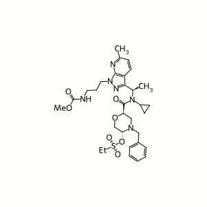 CCS(=O)(=O)O[C@@H]1CO[C@@H](C(=O)N(C2CC2)[C@H](C)c2nn(CCCNC(=O)OC)c3nc(C)ccc23)CN1Cc1ccccc1